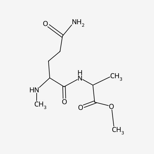 CNC(CCC(N)=O)C(=O)NC(C)C(=O)OC